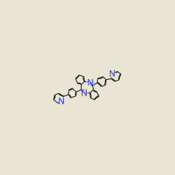 c1ccc(-c2ccc(/C3=N/c4ccccc4/C(c4ccc(-c5ccccn5)cc4)=N\c4ccccc43)cc2)nc1